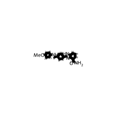 COc1ccc(NCc2ccc(-c3nc4c(C(N)=O)cccc4[nH]3)cc2)cc1